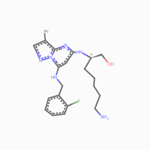 CC(C)c1cnn2c(NCc3ccccc3F)cc(N[C@@H](CO)CCCCCN)nc12